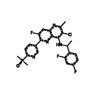 Cc1nc2cc(F)c(-c3ccc(P(C)(C)=O)nc3)nc2c(NC(C)c2ccc(F)cc2F)c1Cl